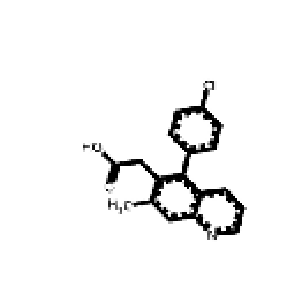 Cc1cc2ncccc2c(-c2ccc(Cl)cc2)c1CC(=O)O